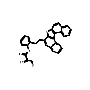 C=C(CF)C(=O)Oc1ccccc1CCc1cc2ccccc2c2c1sc1ccc3ccccc3c12